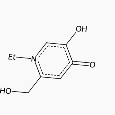 CCn1cc(O)c(=O)cc1CO